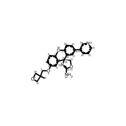 CC1(COc2ccc3c(c2)[C@]2(COC(N)=N2)c2cc(-c4cccnc4)ccc2O3)COC1